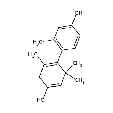 CC1=C(c2ccc(O)cc2C)C(C)(C)C=C(O)C1